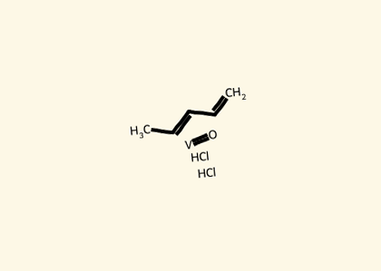 C=CC=CC.Cl.Cl.[O]=[V]